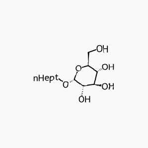 CCCCCCCO[C@@H]1O[C@@H](CO)[C@H](O)[C@@H](O)[C@@H]1O